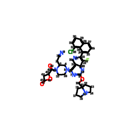 N#CCC1CN(c2nc(OCC34CCCN3CCC4)nc3c(F)c(-c4cccc5cccc(Cl)c45)ncc23)CCN1C(=O)C1CC(=O)O1